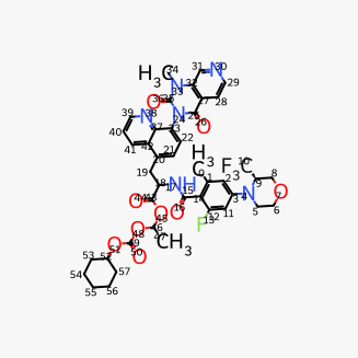 Cc1cc(N2CCOC[C@@H]2C(F)(F)F)cc(F)c1C(=O)NC(Cc1ccc(-n2c(=O)c3ccncc3n(C)c2=O)c2ncccc12)C(=O)OC(C)OC(=O)OC1CCCCC1